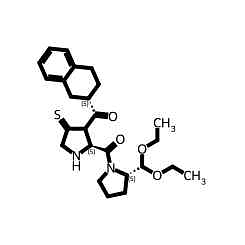 CCOC(OCC)[C@@H]1CCCN1C(=O)[C@H]1NCC(=S)C1C(=O)[C@H]1CCc2ccccc2C1